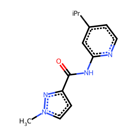 CC(C)c1ccnc(NC(=O)c2ccn(C)n2)c1